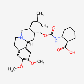 COc1cc2c(cc1OC)[C@H]1C[C@@H](COC(=O)N[C@@H]3CCCC[C@H]3C(=O)O)[C@H](CC(C)C)CN1CC2